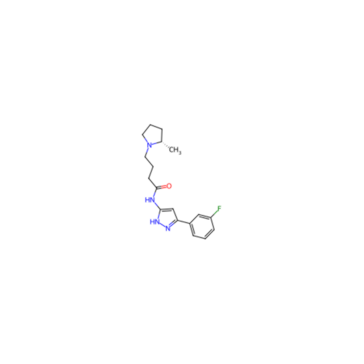 C[C@H]1CCCN1CCCC(=O)Nc1cc(-c2cccc(F)c2)n[nH]1